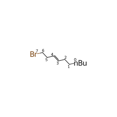 CCCCCCC=CCCBr